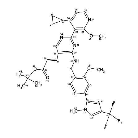 COc1cc(-c2nc(C(F)(F)F)cn2C)ccc1CNc1nc(-c2c(OC)ncnc2C2CC2)ncc1/C=C/C(=O)OC(C)(C)C